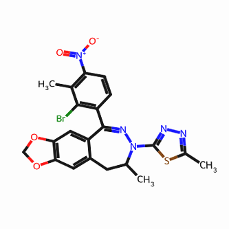 Cc1nnc(N2N=C(c3ccc([N+](=O)[O-])c(C)c3Br)c3cc4c(cc3CC2C)OCO4)s1